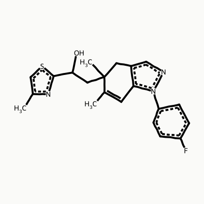 CC1=Cc2c(cnn2-c2ccc(F)cc2)CC1(C)CC(O)c1nc(C)cs1